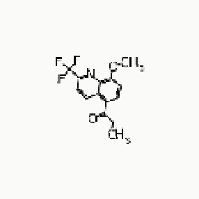 CCC(=O)c1ccc(OC)c2nc(C(F)(F)F)ccc12